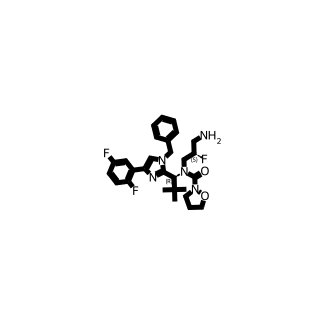 CC(C)(C)[C@H](c1nc(-c2cc(F)ccc2F)cn1Cc1ccccc1)N(C[C@@H](F)CN)C(=O)N1CCCO1